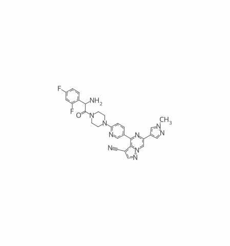 Cn1cc(-c2cn3ncc(C#N)c3c(-c3ccc(N4CCN(C(=O)C(N)c5ccc(F)cc5F)CC4)nc3)n2)cn1